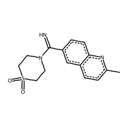 Cc1ccc2cc(C(=N)N3CCS(=O)(=O)CC3)ccc2n1